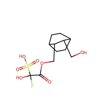 O=C(OCC1C2CCC(CC2)C1CO)C(O)(F)S(=O)(=O)O